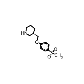 CS(=O)(=O)c1ccc(OC[C@@H]2CCCNC2)cc1